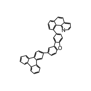 c1cnc2c(c1)ccc1cccc(-c3ccc4oc5ccc(-c6ccc7c8ccccc8c8ccccc8c7c6)cc5c4c3)c12